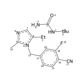 CC(C)(C)NC(N)=O.CCc1cnc(C)n1Cc1ccc(C#N)c(F)c1